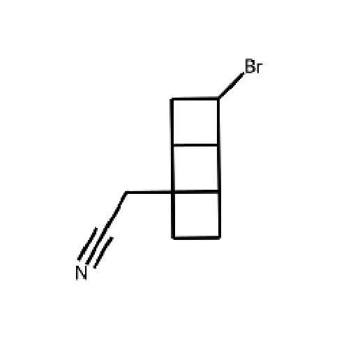 N#CCC12C3C4C1C1C2C3C41Br